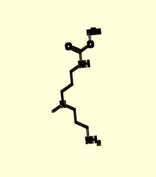 CCCCOC(=O)NCCCN(C)CCCN